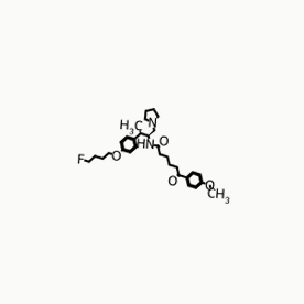 COc1ccc(C(=O)CCCCC(=O)N[C@H](CN2CCCC2)[C@H](C)c2ccc(OCCCCF)cc2)cc1